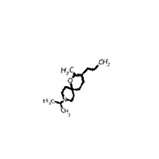 CCCC1CCC2(CCN(C(C)C)CC2)OC1C